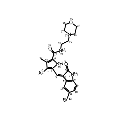 CC(=O)c1c(/C=C2\C(=O)Nc3ccc(Br)cc32)[nH]c(C(=O)NCCN2CCOCC2)c1C